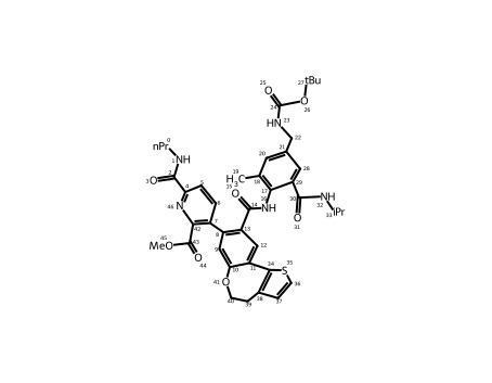 CCCNC(=O)c1ccc(-c2cc3c(cc2C(=O)Nc2c(C)cc(CNC(=O)OC(C)(C)C)cc2C(=O)NC(C)C)-c2sccc2CCO3)c(C(=O)OC)n1